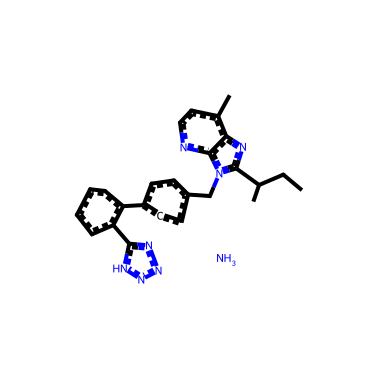 CCC(C)c1nc2c(C)ccnc2n1Cc1ccc(-c2ccccc2-c2nnn[nH]2)cc1.N